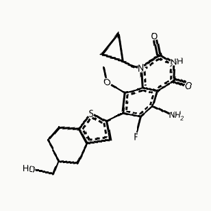 COc1c(-c2cc3c(s2)CCC(CO)C3)c(F)c(N)c2c(=O)[nH]c(=O)n(C3CC3)c12